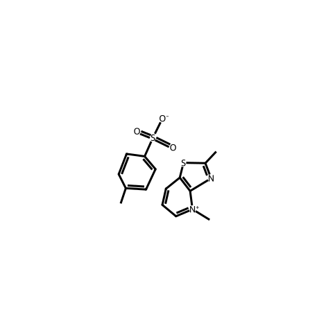 Cc1ccc(S(=O)(=O)[O-])cc1.Cc1nc2c(ccc[n+]2C)s1